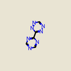 c1nnc(-c2ncncn2)nn1